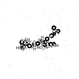 Cc1ccccc1[C@@H]1CCCN1C1CC2(CCN(c3ccc(C(=O)NS(=O)(=O)c4cc5c(c([N+](=O)[O-])c4)N[C@H](C4(F)CCC(C)(OC(=O)N(C)c6ncccc6COP(=O)(O)O)CC4)CO5)c(N4c5cc6cc[nH]c6nc5O[C@@H]5COC[C@H]54)c3)CC2)C1